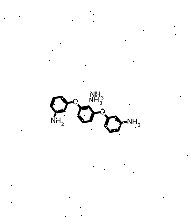 N.N.Nc1cccc(Oc2cccc(Oc3cccc(N)c3)c2)c1